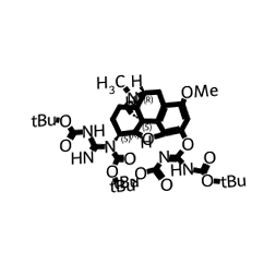 COc1cc(OC(=NC(=O)OC(C)(C)C)NC(=O)OC(C)(C)C)c2c3c1C[C@@H]1[C@@H]4CC[C@H](N(C(=N)NC(=O)OC(C)(C)C)C(=O)OC(C)(C)C)[C@H](O2)[C@]34CCN1C